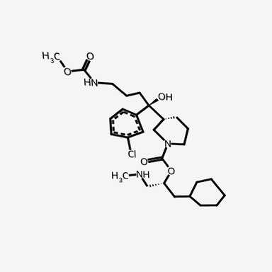 CNC[C@@H](CC1CCCCC1)OC(=O)N1CCC[C@@H]([C@@](O)(CCCNC(=O)OC)c2cccc(Cl)c2)C1